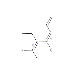 C=C/C=C(Cl)\C(CC)=C(/C)F